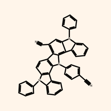 N#Cc1ccc(-n2c3c(ccc4c3c3ccccc3n4-c3ccccc3)c3c(C#N)cc4c(c5ccccc5n4-c4ccccc4)c32)cc1